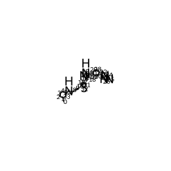 Cc1cccc(NCC#Cc2cc(-c3n[nH]c4c3Cc3cc(Cn5cncn5)ccc3-4)cs2)c1